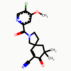 COc1cc(C(=O)N2CCC3(C=C(C#N)C(=O)C(C)(C)C3)C2)ncc1Cl